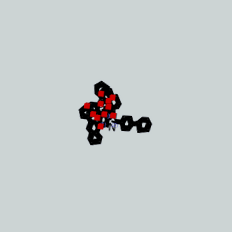 C1=C(c2ccc3c(oc4ccccc43)c2-n2c3ccccc3c3cc4ccccc4cc32)/N=C(c2ccc(-c3ccccc3)cc2)\N=C2\c3cccc4c5ccccc5n(c34)-c3ccccc3C2C/1